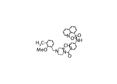 COc1c(C)cccc1CN1CCN(C(=O)c2ccc(NS(=O)(=O)c3cccc4cccnc34)cc2)[C@@H](C)C1